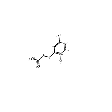 O=C(O)CCc1cc(Cl)nnc1Cl